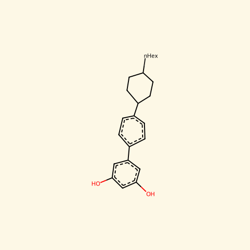 CCCCCCC1CCC(c2ccc(-c3cc(O)cc(O)c3)cc2)CC1